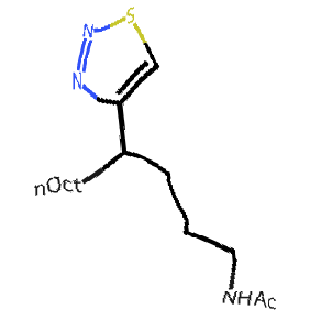 CCCCCCCCC(CCCNC(C)=O)c1csnn1